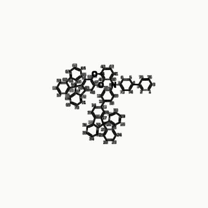 c1ccc(-c2ccc(N(c3ccc(-c4ccc5c(c4)C(c4ccccc4)(c4ccccc4)c4ccccc4-5)cc3)c3cccc4c3Oc3cc5c(cc3O4)C3(c4ccccc4-c4ccccc43)c3ccccc3-5)cc2)cc1